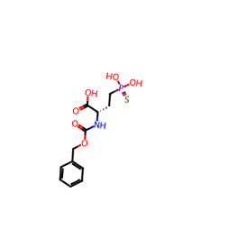 O=C(N[C@@H](CCP(O)(O)=S)C(=O)O)OCc1ccccc1